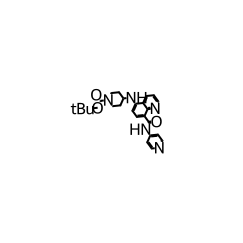 CC(C)(C)OC(=O)N1CCC(Nc2ccc(C(=O)Nc3ccncc3)c3ncccc23)CC1